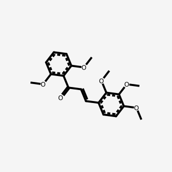 COc1ccc(C=CC(=O)c2c(OC)cccc2OC)c(OC)c1OC